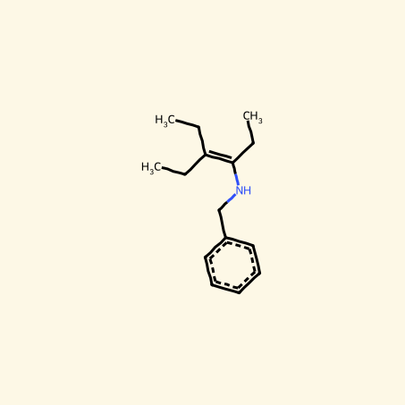 CCC(CC)=C(CC)NCc1ccccc1